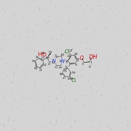 C[C@@H](O)COc1ccc(N2CCN(C[C@@](C)(O)c3ccccc3)C[C@H]2c2ccc(Cl)cc2)c(Cl)c1